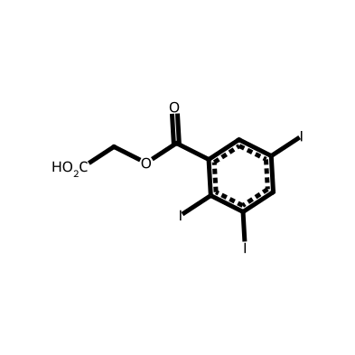 O=C(O)COC(=O)c1cc(I)cc(I)c1I